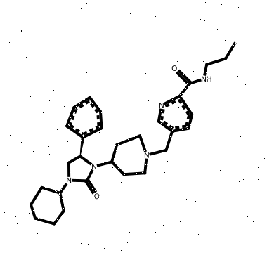 CCCNC(=O)c1ccc(CN2CCC(N3C(=O)N(C4CCCCC4)C[C@H]3c3ccccc3)CC2)cn1